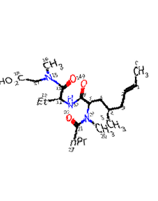 C/C=C/C[C@@H](C)CC(C(=O)N[C@@H](CC)C(=O)N(C)CC(=O)O)N(C)C(=O)CCC